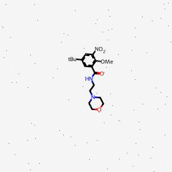 COc1c(C(=O)NCCN2CCOCC2)cc(C(C)(C)C)cc1[N+](=O)[O-]